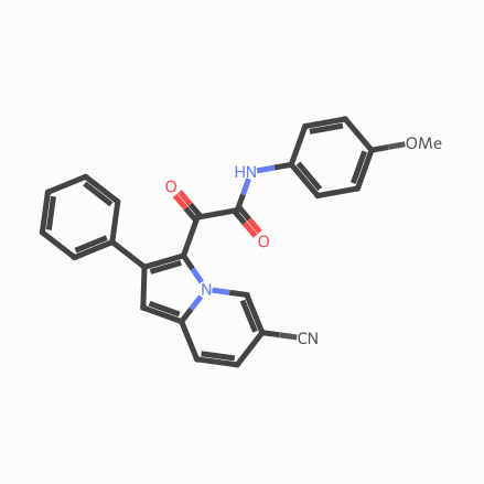 COc1ccc(NC(=O)C(=O)c2c(-c3ccccc3)cc3ccc(C#N)cn23)cc1